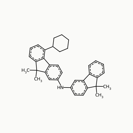 CC1(C)c2ccccc2-c2cc(Nc3ccc4c(c3)C(C)(C)c3cccc(C5CCCCC5)c3-4)ccc21